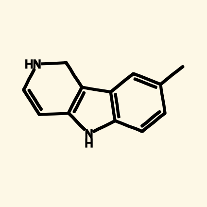 Cc1ccc2[nH]c3c(c2c1)CNC=C3